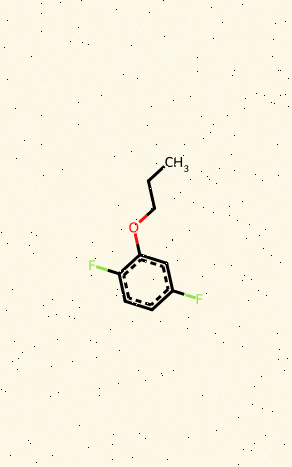 CCCOc1cc(F)ccc1F